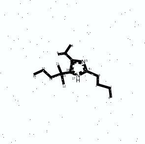 CCCCc1nc(C(C)C)c(C(C)(C)CCC)[nH]1